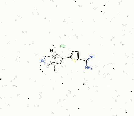 Cl.N=C(N)c1ccc(C2=C[C@H]3CNC[C@H]3C2)s1